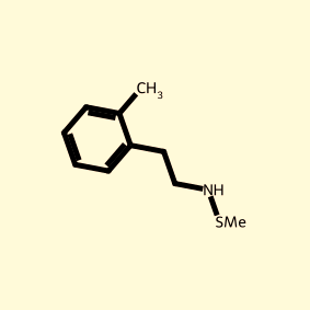 CSNCCc1ccccc1C